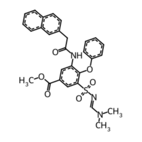 COC(=O)c1cc(NC(=O)Cc2ccc3ccccc3c2)c(Oc2ccccc2)c(S(=O)(=O)N=CN(C)C)c1